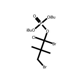 CC(C)COP(=O)(OCC(C)C)OC(Cl)(Br)C(C)(C)CBr